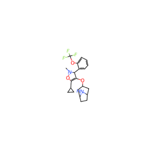 CN1OC(C2CC2)=C(OC2CC3CCC(C2)N3)C1c1ccccc1OC(F)(F)F